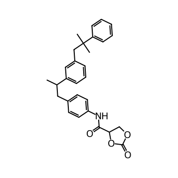 CC(Cc1ccc(NC(=O)C2COC(=O)O2)cc1)c1cccc(CC(C)(C)c2ccccc2)c1